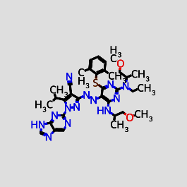 CCN(c1nc(NC(C)COC)c(N=Nc2nn(-c3ncc4nc[nH]c4n3)c(C(C)C)c2C#N)c(Sc2c(C)cccc2C)n1)C(C)COC